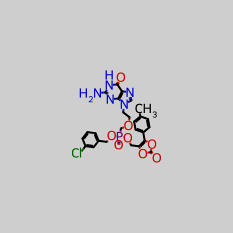 Cc1ccc(-c2oc(=O)oc2COP(=O)(COCCn2cnc3c(=O)[nH]c(N)nc32)OCc2cccc(Cl)c2)cc1